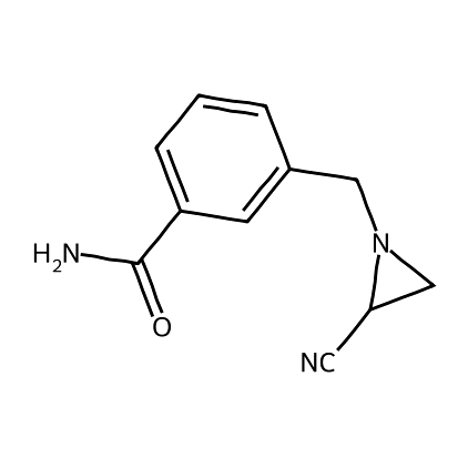 N#CC1CN1Cc1cccc(C(N)=O)c1